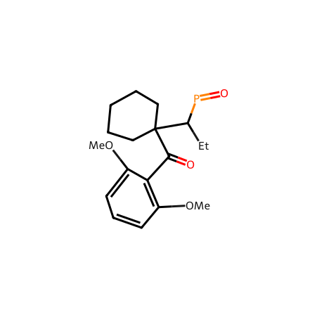 CCC(P=O)C1(C(=O)c2c(OC)cccc2OC)CCCCC1